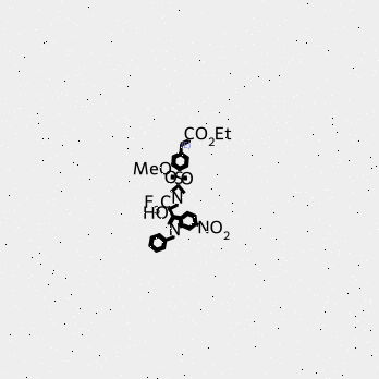 CCOC(=O)/C=C/c1ccc(S(=O)(=O)C2CN(CC(O)(c3cn(Cc4ccccc4)c4cc([N+](=O)[O-])ccc34)C(F)(F)F)C2)c(OC)c1